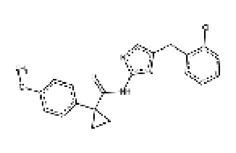 COc1ccc(C2(C(=O)Nc3ncc(Cc4ccccc4Cl)s3)CC2)cc1